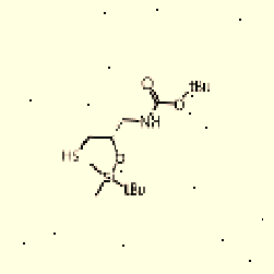 CC(C)(C)OC(=O)NC[C@@H](CS)O[Si](C)(C)C(C)(C)C